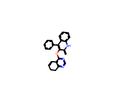 C=C1Nc2ccccc2C(c2ccccc2)=C1Oc1ncnc2c1C=CCC2